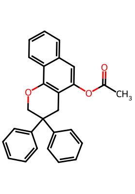 CC(=O)Oc1cc2ccccc2c2c1CC(c1ccccc1)(c1ccccc1)CO2